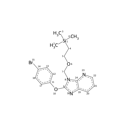 C[Si](C)(C)CCOCn1c(Oc2ccc(Br)cc2)nc2cccnc21